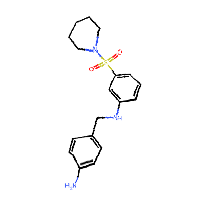 Nc1ccc(CNc2cccc(S(=O)(=O)N3CCCCC3)c2)cc1